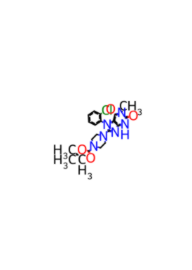 Cn1c(=O)[nH]c2nc(N3CCN(C(=O)OC(C)(C)C)CC3)n(-c3ccccc3Cl)c2c1=O